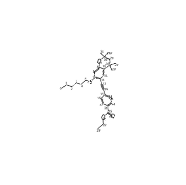 CCCCCCSc1cc2c(cc1C#Cc1ccc(C(=O)OCC)cn1)C(C)(C)CC(C)(C)O2